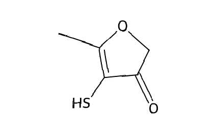 CC1=C(S)C(=O)CO1